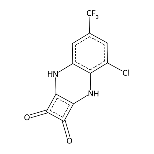 O=c1c2c(c1=O)Nc1c(Cl)cc(C(F)(F)F)cc1N2